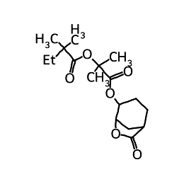 CCC(C)(C)C(=O)OC(C)(C)C(=O)OC1CCC2CC1OC2=O